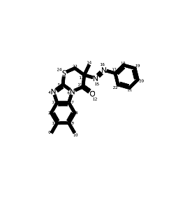 Cc1cc2nc3n(c2cc1C)C(=O)C(C)(N=Nc1ccccc1)CS3